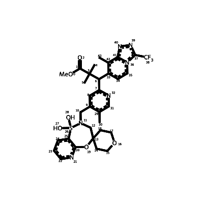 COC(=O)C(C)(C)C(c1cc(CN2CC3(CCOCC3)Oc3ncccc3S2(O)O)c(C)cn1)c1ccn2c(C(F)(F)F)nnc2c1C